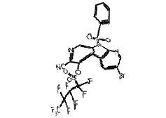 N#Cc1ncc2c(c1OS(=O)(=O)C(F)(F)C(F)(F)C(F)(F)C(F)(F)F)c1cc(Br)cnc1n2S(=O)(=O)c1ccccc1